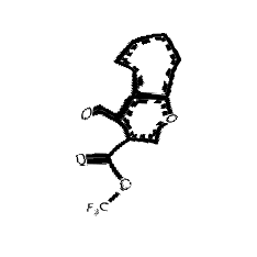 O=C(OC(F)(F)F)c1coc2ccccc2c1=O